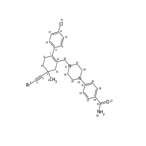 CC1(C#CBr)CCC(c2ccc(Cl)cc2)=C(CN2CCN(c3ccc(C(N)=O)cc3)CC2)C1